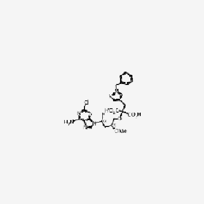 CO[C@H](COC(Cc1cnn(Cc2ccccc2)c1)(C(=O)O)C(=O)O)C[C@H](F)n1cnc2c(N)nc(Cl)nc21